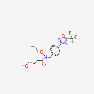 CCCON(Cc1ccc(-c2noc(C(F)(F)F)n2)cc1)C(=O)CCCOC